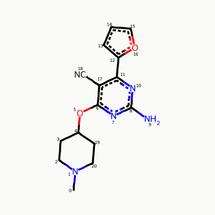 CN1CCC(Oc2nc(N)nc(-c3ccco3)c2C#N)CC1